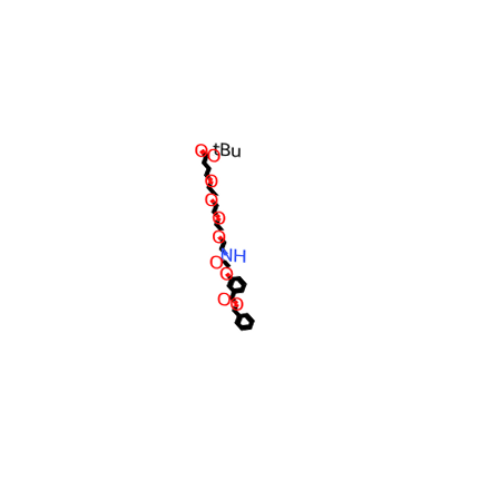 CC(C)(C)OC(=O)CCCOCCOCCOCCOCCNC(=O)COc1cccc(C(=O)OCc2ccccc2)c1